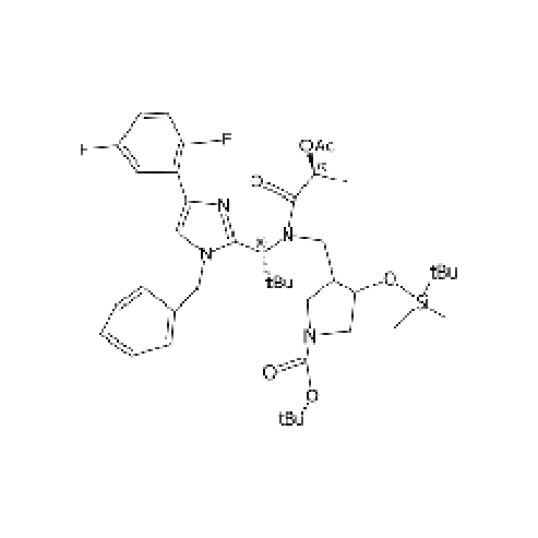 CC(=O)O[C@@H](C)C(=O)N(CC1CN(C(=O)OC(C)(C)C)CC1O[Si](C)(C)C(C)(C)C)[C@@H](c1nc(-c2cc(F)ccc2F)cn1Cc1ccccc1)C(C)(C)C